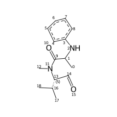 CC(Nc1ccccc1)C(=O)N(C)[C@H]([C]=O)C(C)C